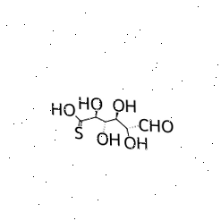 O=C[C@H](O)[C@H](O)[C@H](O)[C@H](O)C(O)=S